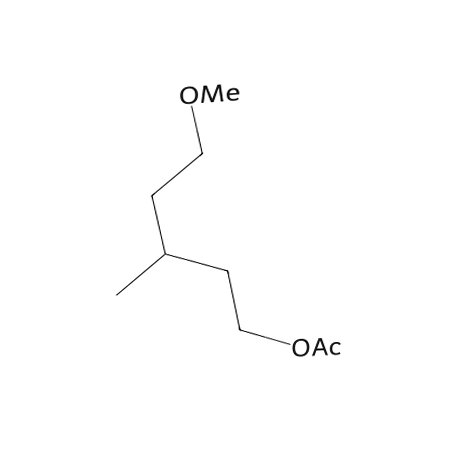 COCCC(C)CCOC(C)=O